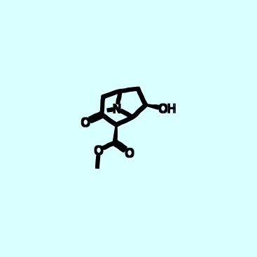 COC(=O)[C@H]1C(=O)CC2C[C@@H](O)C1N2C